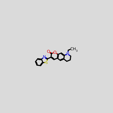 CCN1CCCc2cc3cc(-c4nc5ccccc5s4)c(=O)oc3cc21